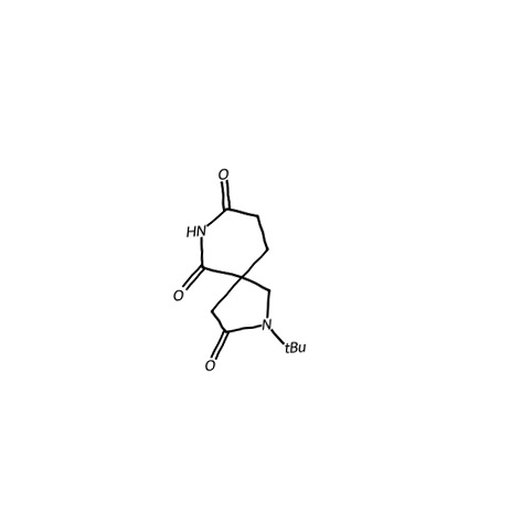 CC(C)(C)N1CC2(CCC(=O)NC2=O)CC1=O